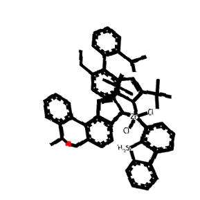 CCc1ccc2c(c1-c1ccccc1C(C)C)C=C(C(C)(C)C)[CH]2[Zr]([Cl])([Cl])([c]1cccc2c1[SiH2]c1ccccc1-2)[CH]1C(C(C)(C)C)=Cc2c1ccc(CC)c2-c1ccccc1C(C)C